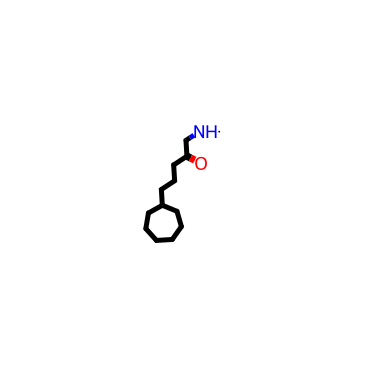 [NH]CC(=O)CCCC1CCCCCC1